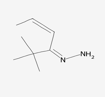 C/C=C\C(=N/N)C(C)(C)C